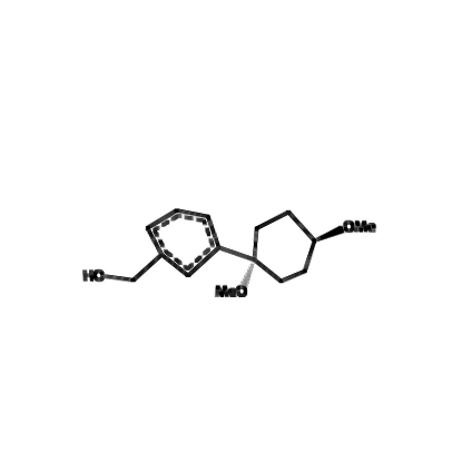 CO[C@H]1CC[C@@](OC)(c2cccc(CO)c2)CC1